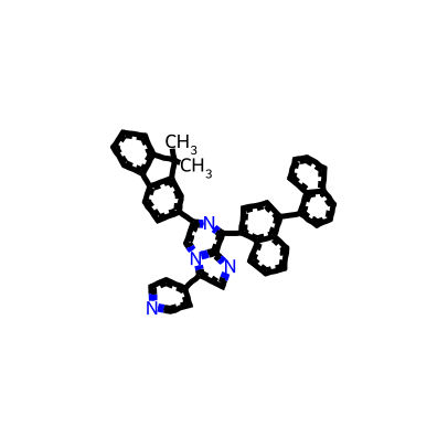 CC1(C)c2ccccc2-c2ccc(-c3cn4c(-c5ccncc5)cnc4c(-c4ccc(-c5cccc6ccccc56)c5ccccc45)n3)cc21